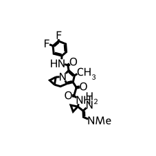 CN/C=C(\N)C1(NC(=O)C(=O)c2c(C)c(C(=O)Nc3ccc(F)c(F)c3)n3c2CC2CC23)CC1